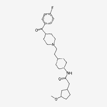 COC1CCC(CC(=O)NC2CCC(CCN3CCC(C(=O)c4ccc(F)cc4)CC3)CC2)C1